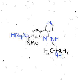 CN/C(=N\N=N)c1ccc2c(c1)nc(NCCC(C)(C)N)c1ccncc12